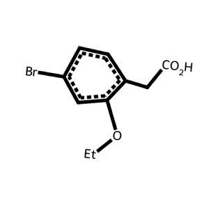 CCOc1cc(Br)ccc1CC(=O)O